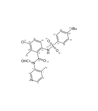 Cc1ccncc1N(C=O)C(=O)c1c(NS(=O)(=O)c2ccc(C(C)(C)C)cc2)ccc(Cl)c1C